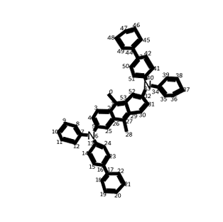 Cc1c2ccc(N(c3ccccc3)c3ccc(-c4ccccc4)cc3)cc2c(C)c2ccc(N(c3ccccc3)c3ccc(-c4ccccc4)cc3)cc12